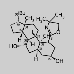 CC[C@@H](C)[C@H]1CC[C@H]2[C@@H]3[C@@H](O)C[C@@H]4C[C@H](O)CC(C5=NC(C)(C)CO5)[C@]4(C)[C@H]3CC[C@]12C